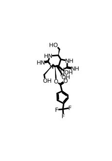 N=C1NC2[C@H](CO)NC(=N)N3[C@@H](CO)[C@H](OC(=O)c4ccc(C(F)(F)F)cc4)C(O)(O)[C@]23N1